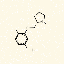 CC(=O)Nc1ccc(C(F)(F)F)c(OC[C@H]2CCCN2C)c1